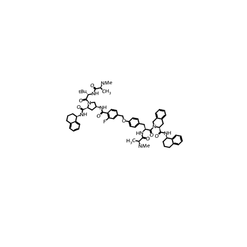 CN[C@@H](C)C(=O)N[C@@H](Cc1ccc(OCc2ccc(C(=O)N[C@H]3C[C@@H](C(=O)N[C@@H]4CCCc5ccccc54)N(C(=O)[C@@H](NC(=O)[C@H](C)NC)C(C)(C)C)C3)c(F)c2)cc1)C(=O)N1Cc2ccccc2C[C@H]1C(=O)N[C@@H]1CCCc2ccccc21